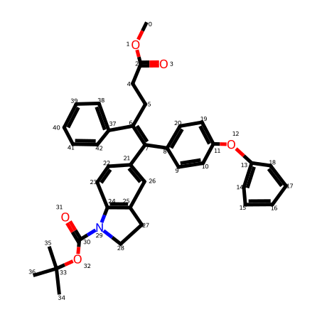 COC(=O)CC/C(=C(\c1ccc(Oc2ccccc2)cc1)c1ccc2c(c1)CCN2C(=O)OC(C)(C)C)c1ccccc1